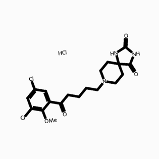 COc1c(Cl)cc(Cl)cc1C(=O)CCCCN1CCC2(CC1)NC(=O)NC2=O.Cl